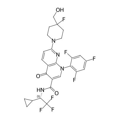 O=C(N[C@@H](C1CC1)C(F)(F)F)c1cn(-c2c(F)cc(F)cc2F)c2nc(N3CCC(F)(CO)CC3)ccc2c1=O